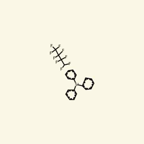 FC(F)C(F)(F)C(F)(F)C(F)(F)F.c1ccc([S+](c2ccccc2)c2ccccc2)cc1